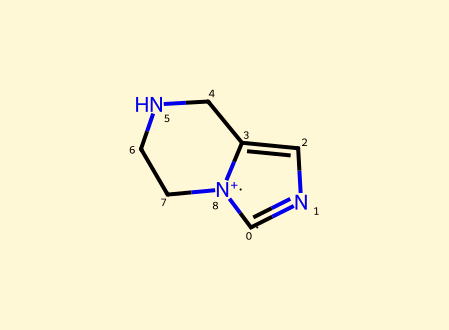 [C]1=NC=C2CNCC[N+]12